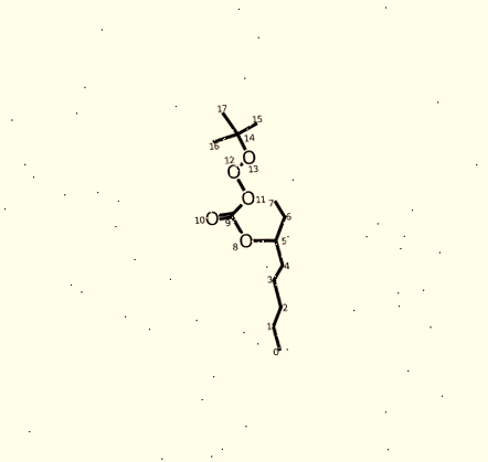 CCCCCC(CC)OC(=O)OOOC(C)(C)C